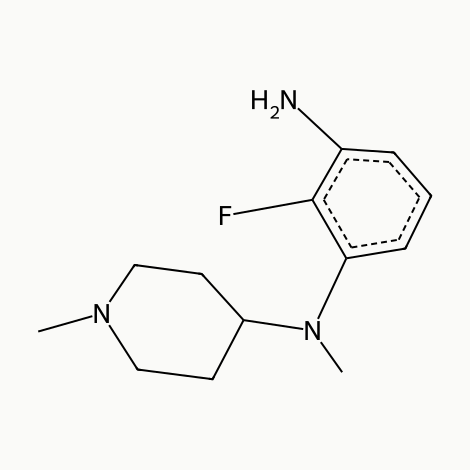 CN1CCC(N(C)c2cccc(N)c2F)CC1